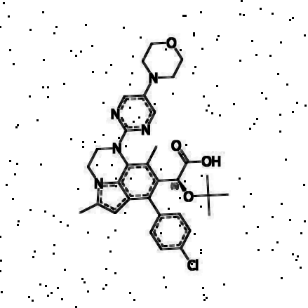 Cc1c([C@H](OC(C)(C)C)C(=O)O)c(-c2ccc(Cl)cc2)c2cc(C)n3c2c1N(c1ncc(N2CCOCC2)cn1)CC3